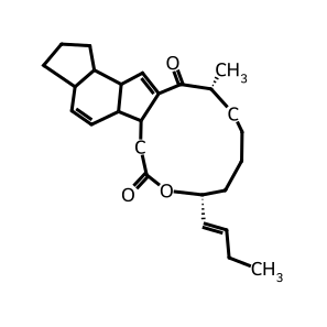 CC/C=C/[C@H]1CCCC[C@@H](C)C(=O)C2=CC3C(C=CC4CCCC43)C2CC(=O)O1